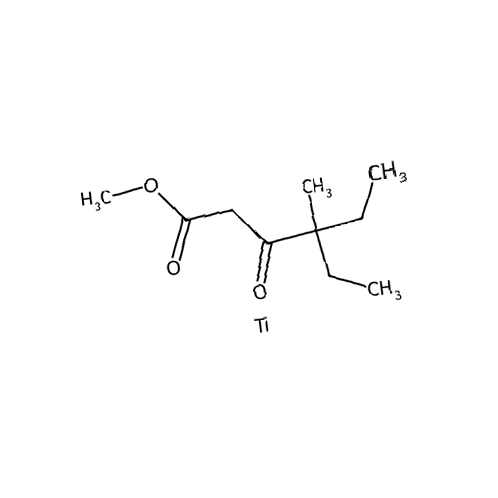 CCC(C)(CC)C(=O)CC(=O)OC.[Ti]